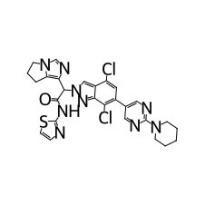 O=C(Nc1nccs1)C(c1ncn2c1CCC2)n1cc2c(Cl)cc(-c3cnc(N4CCCCC4)nc3)c(Cl)c2n1